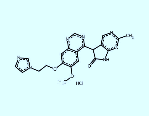 COc1cc2c(C3C(=O)Nc4nc(C)ncc43)ncnc2cc1OCCn1ccnc1.Cl